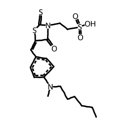 CCCCCCN(C)c1ccc(C=C2SC(=S)N(CCS(=O)(=O)O)C2=O)cc1